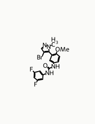 COc1ccc(NC(=O)Nc2cc(F)cc(F)c2)cc1-c1c(Br)cnn1C